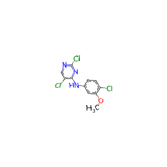 COc1cc(Nc2nc(Cl)ncc2Cl)ccc1Cl